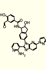 Nc1ncccc1-c1nc2ccc(-n3cccn3)nc2n1-c1ccc2c(c1)CC(O)C2NC(=O)c1ccc(O)c(C=O)c1